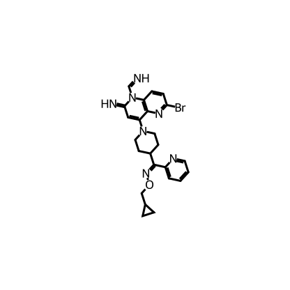 N=Cn1c(=N)cc(N2CCC(/C(=N/OCC3CC3)c3ccccn3)CC2)c2nc(Br)ccc21